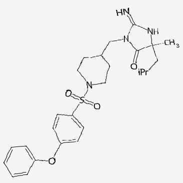 CC(C)CC1(C)NC(=N)N(CC2CCN(S(=O)(=O)c3ccc(Oc4ccccc4)cc3)CC2)C1=O